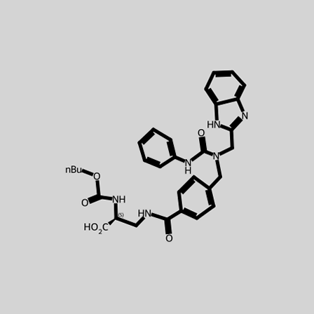 CCCCOC(=O)N[C@@H](CNC(=O)c1ccc(CN(Cc2nc3ccccc3[nH]2)C(=O)Nc2ccccc2)cc1)C(=O)O